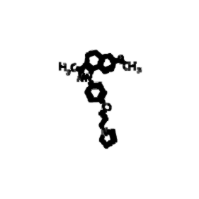 COc1ccc2c(c1)CCc1c(C)nn(-c3ccc(OCCCN4CCCC4)cc3)c1-2